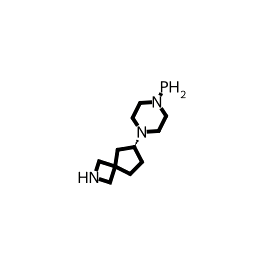 PN1CCN([C@@H]2CCC3(CNC3)C2)CC1